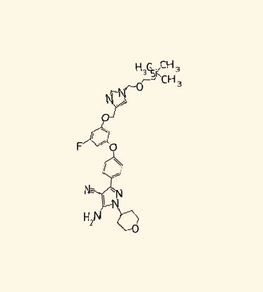 C[Si](C)(C)CCOCn1cnc(COc2cc(F)cc(Oc3ccc(-c4nn(C5CCOCC5)c(N)c4C#N)cc3)c2)c1